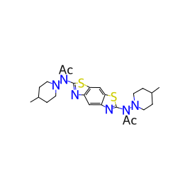 CC(=O)N(c1nc2cc3nc(N(C(C)=O)N4CCC(C)CC4)sc3cc2s1)N1CCC(C)CC1